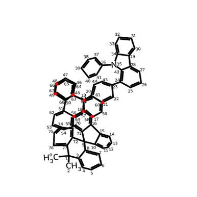 CC1(C)c2ccccc2C2(c3ccccc3-c3cc(N(c4ccc(-c5cccc6c7ccccc7n(-c7ccccc7)c56)cc4)c4ccccc4-c4ccccc4-c4ccccc4-c4ccccc4)ccc32)c2ccccc21